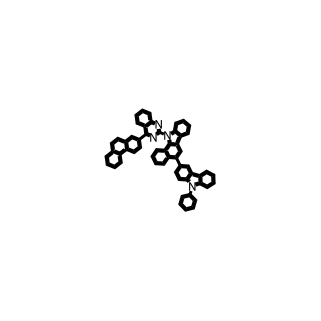 c1ccc(-n2c3ccccc3c3cc(-c4cc5c6ccccc6n(-c6nc(-c7ccc8c(ccc9ccccc98)c7)c7ccccc7n6)c5c5ccccc45)ccc32)cc1